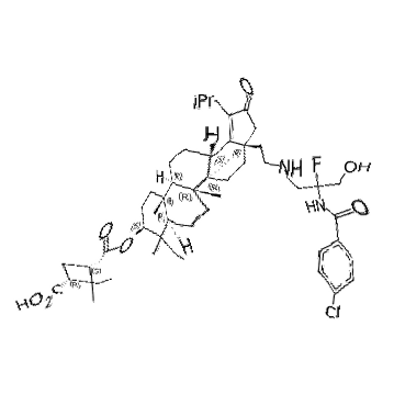 CC(C)C1=C2[C@H]3CC[C@@H]4[C@@]5(C)CC[C@H](OC(=O)[C@H]6C[C@@H](C(=O)O)C6(C)C)C(C)(C)[C@@H]5CC[C@@]4(C)[C@]3(C)CC[C@@]2(CCNCC(F)(CO)NC(=O)c2ccc(Cl)cc2)CC1=O